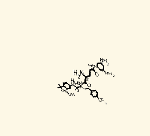 CC1(C)OB(O)c2cc(NC(=O)[C@@H](CCc3ccc(C(F)(F)F)cc3)NC(=O)[C@@H](N)CCC(=O)N[C@@H]3C[C@H](N)C[C@H](N)C3)ccc21